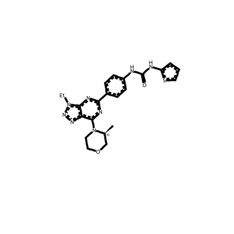 CCn1nnc2c(N3CCOC[C@@H]3C)nc(-c3ccc(NC(=O)Nc4cccs4)cc3)nc21